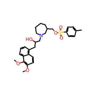 COc1ccc2c(CC(O)CN3CCCCC(COS(=O)(=O)c4ccc(C)cc4)C3)cccc2c1OC